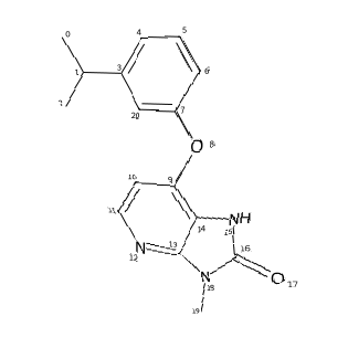 CC(C)c1cccc(Oc2ccnc3c2[nH]c(=O)n3C)c1